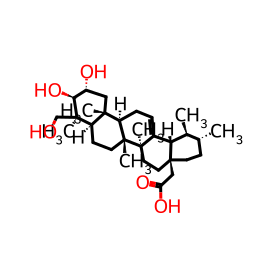 C[C@H]1[C@H](C)CC[C@]2(CC(=O)O)CC[C@]3(C)C(=CC[C@@H]4[C@@]5(C)C[C@@H](O)[C@H](O)[C@](C)(CO)[C@@H]5CC[C@]43C)[C@H]12